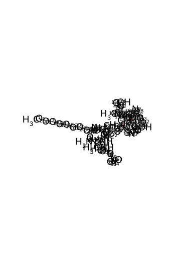 COCCOCCOCCOCCOCCOCCOCCOCCn1cc(COC(=O)N(C)Cc2cc(NC(=O)[C@H](CCCNC(N)=O)NC(=O)[C@@H](NC(=O)CCOCCN3C(=O)C=CC3=O)C(C)C)ccc2COc2cc(-c3sc4ncnc(O[C@H](Cc5ccccc5OCc5ccnc(-c6ccccc6OC)n5)C(=O)O)c4c3-c3ccc(OCCN4CC[N+](C)(CCCS(=O)(=O)O)CC4)c(Cl)c3C)ccc2F)nn1